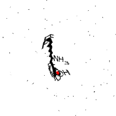 N.O=S(=O)(O)C(F)(F)C(F)(F)CCCCCCCCCC(F)(F)F